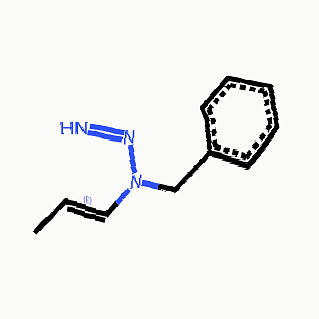 C/C=C/N(Cc1ccccc1)N=N